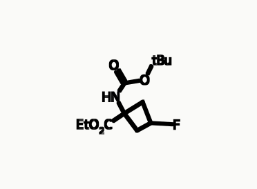 CCOC(=O)C1(NC(=O)OC(C)(C)C)CC(F)C1